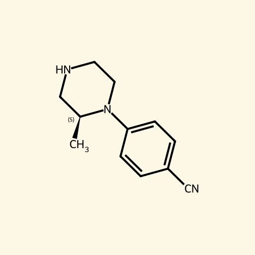 C[C@H]1CNCCN1c1ccc(C#N)cc1